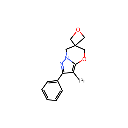 CC(C)c1c(-c2ccccc2)nn2c1OCC1(COC1)C2